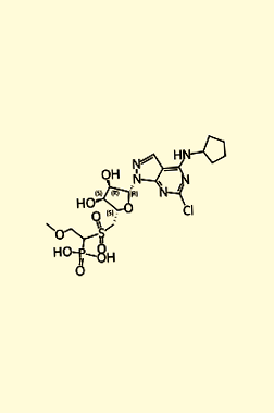 COCC(P(=O)(O)O)S(=O)(=O)C[C@H]1O[C@@H](n2ncc3c(NC4CCCC4)nc(Cl)nc32)[C@H](O)[C@@H]1O